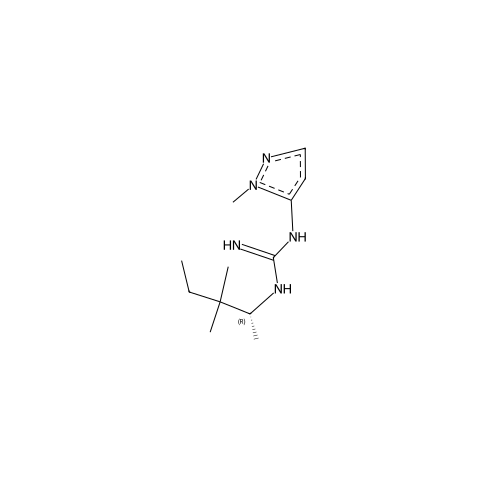 CCC(C)(C)[C@@H](C)NC(=N)Nc1ccnn1C